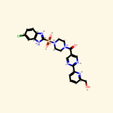 O=C(c1cnc(-c2cccc(CO)n2)nc1)N1CCN(S(=O)(=O)c2nc3ccc(Cl)cc3[nH]2)CC1